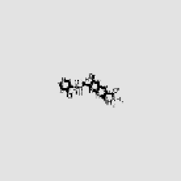 CC(NS(=O)(=O)c1cnccc1Cl)c1nc2nc(N)c(C(N)=O)cc2cc1Br